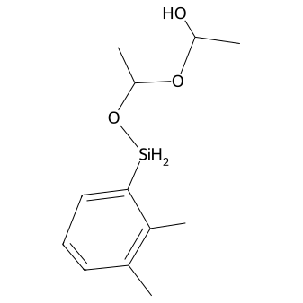 Cc1cccc([SiH2]OC(C)OC(C)O)c1C